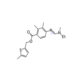 CCN(C)/C=N/c1ccc(C(=O)OCc2ccc(C)s2)c(C)c1C